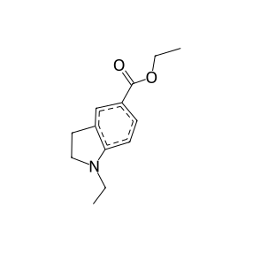 CCOC(=O)c1ccc2c(c1)CCN2CC